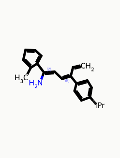 C=C/C(=C\C=C(/N)c1ccccc1C)c1ccc(C(C)C)cc1